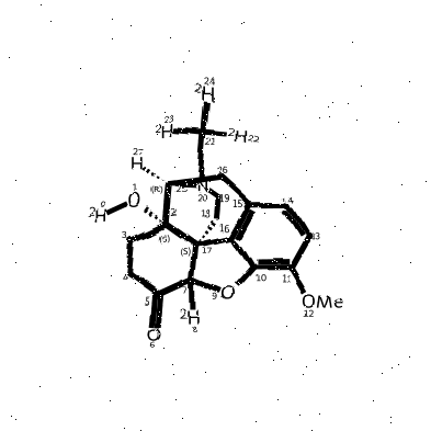 [2H]O[C@@]12CCC(=O)C3([2H])Oc4c(OC)ccc5c4[C@@]31CCN(C([2H])([2H])[2H])[C@@H]2C5